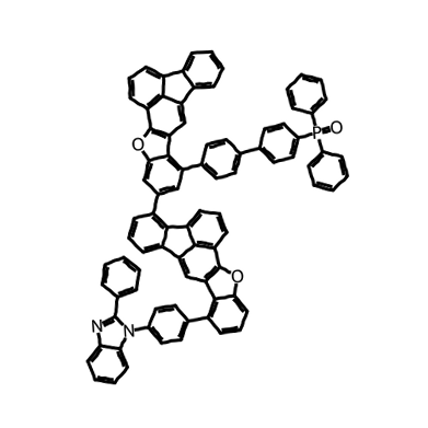 O=P(c1ccccc1)(c1ccccc1)c1ccc(-c2ccc(-c3cc(-c4cccc5c4-c4cccc6c4c-5cc4c6oc5cccc(-c6ccc(-n7c(-c8ccccc8)nc8ccccc87)cc6)c54)cc4oc5c6cccc7c6c(cc5c34)-c3ccccc3-7)cc2)cc1